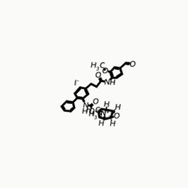 COc1cc(C=O)ccc1NC(=O)CCc1ccc(-c2ccccc2)c(NC(=O)O[C@@H]2C[C@@H]3[C@H]4O[C@H]4[C@H](C2)[N+]3(C)C)c1.[I-]